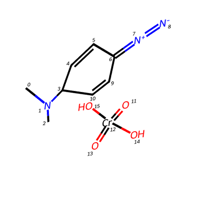 CN(C)C1C=CC(=[N+]=[N-])C=C1.[O]=[Cr](=[O])([OH])[OH]